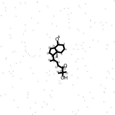 COC1CCC[C@]2(C)C(C(C)CCC(=O)C(C)(C)O)CCC12